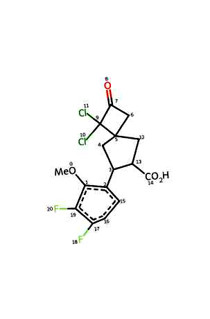 COc1c(C2CC3(CC(=O)C3(Cl)Cl)CC2C(=O)O)ccc(F)c1F